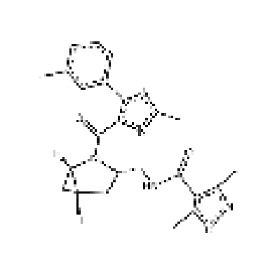 Cc1cccc(-c2sc(C)nc2C(=O)N2[C@H](CNC(=O)c3c(C)noc3C)C[C@@H]3C[C@@H]32)c1